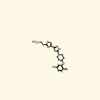 O=C(O)CCc1nc(-c2nnc(N3CCC(Oc4cc(F)ccc4Br)CC3)s2)no1